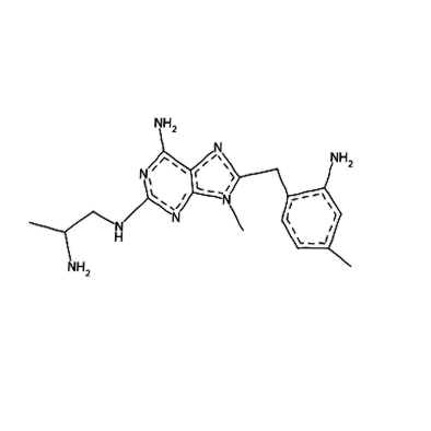 Cc1ccc(Cc2nc3c(N)nc(NCC(C)N)nc3n2C)c(N)c1